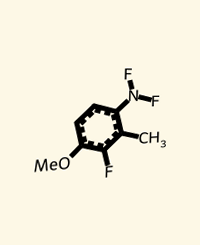 COc1ccc(N(F)F)c(C)c1F